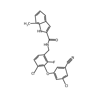 Cc1cccc2cc(C(=O)NCc3ccc(Cl)c(Oc4cc(Cl)cc(C#N)c4)c3F)[nH]c12